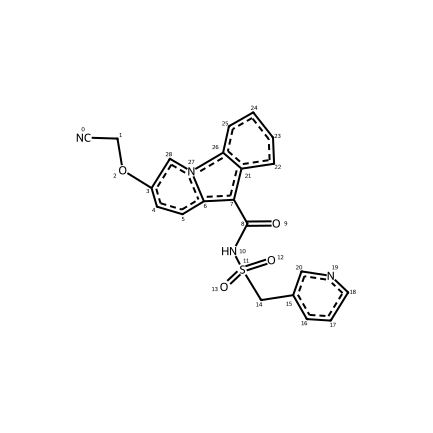 N#CCOc1ccc2c(C(=O)NS(=O)(=O)Cc3cccnc3)c3ccccc3n2c1